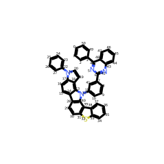 c1ccc(-c2nc(-c3cccc(-n4c5c(ccc6c5ccn6-c5ccccc5)c5ccc6sc7ccccc7c6c54)c3)nc3ccccc23)cc1